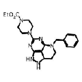 CCOC(=O)N1CCN(c2nc3c4c(n2)N(Cc2ccccc2)CCC4NN3)CC1